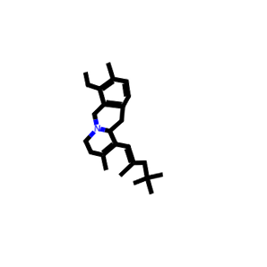 CCc1c(C)ccc2c1CN1CCC(C)=C(/C=C(\C)CC(C)(C)C)C1C2